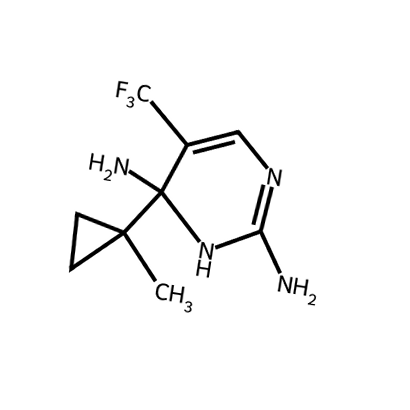 CC1(C2(N)NC(N)=NC=C2C(F)(F)F)CC1